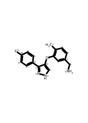 Cc1ccc(CN)cc1Oc1c[nH]nc1-c1ccc(F)cc1